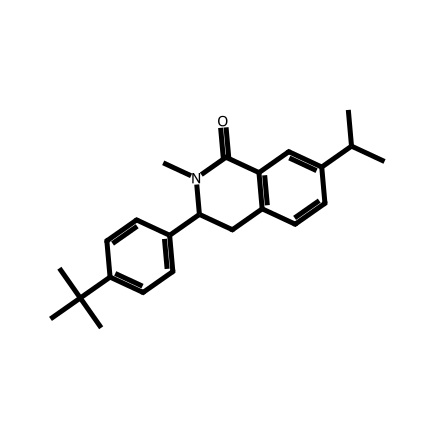 CC(C)c1ccc2c(c1)C(=O)N(C)C(c1ccc(C(C)(C)C)cc1)C2